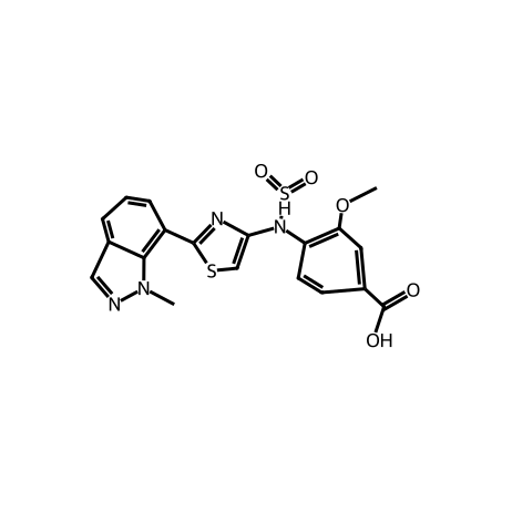 COc1cc(C(=O)O)ccc1N(c1csc(-c2cccc3cnn(C)c23)n1)[SH](=O)=O